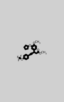 COC(=O)CC(C#Cc1ccc(OC(F)(F)F)cc1)c1ccc(OC)c(OC2CCCC2)c1